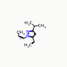 C=Cc1cc(C(C)C)nn1/C=C\C